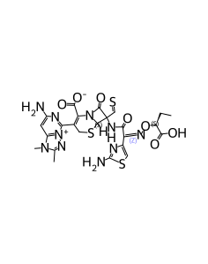 CC[C@H](O/N=C(\C(=O)NC1(C=S)C(=O)N2C(C(=O)[O-])=C(c3nc(N)cc4n(C)c(C)n[n+]34)CS[C@H]21)c1csc(N)n1)C(=O)O